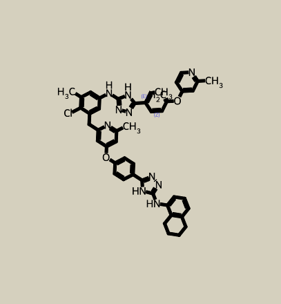 C=C(/C=C\C(=C/C)c1nnc(Nc2cc(C)c(Cl)c(Cc3cc(Oc4ccc(-c5nnc(Nc6cccc7c6CCCC7)[nH]5)cc4)cc(C)n3)c2)[nH]1)Oc1ccnc(C)c1